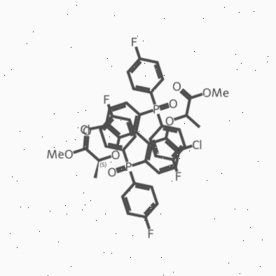 COC(=O)C(C)Oc1c(Cl)ccc(P(=O)(c2ccc(F)cc2)c2ccc(F)cc2)c1-c1c(P(=O)(c2ccc(F)cc2)c2ccc(F)cc2)ccc(Cl)c1O[C@@H](C)C(=O)OC